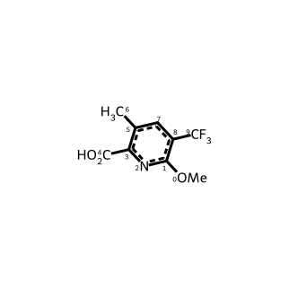 COc1nc(C(=O)O)c(C)cc1C(F)(F)F